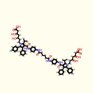 CC(C)c1c(C(=O)Nc2ccc(NC(=O)CCCCC(=O)Nc3ccc(NC(=O)c4c(-c5ccccc5)c(-c5ccc(F)cc5)n(CCC(O)CC(O)CC(=O)O)c4C(C)C)cc3)cc2)c(-c2ccccc2)c(-c2ccc(F)cc2)n1CCC(O)CC(O)CC(=O)O